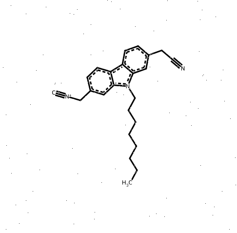 [C-]#[N+]Cc1ccc2c3ccc(CC#N)cc3n(CCCCCCCC)c2c1